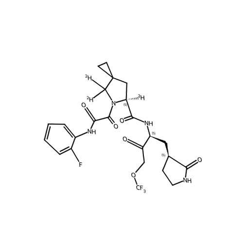 [2H]C1([2H])N(C(=O)C(=O)Nc2ccccc2F)[C@]([2H])(C(=O)N[C@@H](C[C@@H]2CCNC2=O)C(=O)COC(F)(F)F)CC12CC2